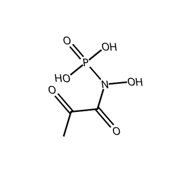 CC(=O)C(=O)N(O)P(=O)(O)O